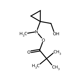 CN(OC(=O)C(C)(C)C)C1(CO)CC1